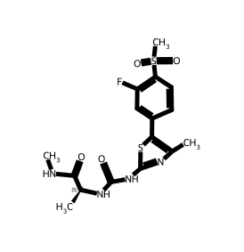 CNC(=O)[C@H](C)NC(=O)Nc1nc(C)c(-c2ccc(S(C)(=O)=O)c(F)c2)s1